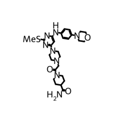 CSc1nc(Nc2ccc(N3CCOCC3)cc2)cc(N2CCN(CC(=O)N3CCC(C(N)=O)CC3)CC2)n1